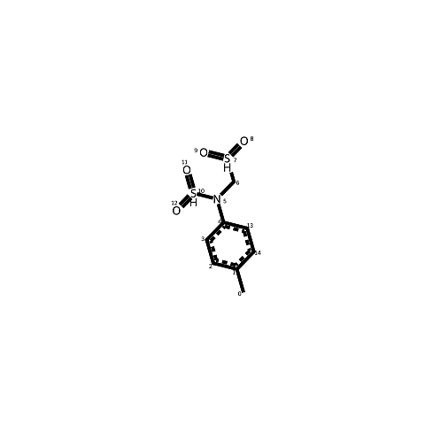 Cc1ccc(N(C[SH](=O)=O)[SH](=O)=O)cc1